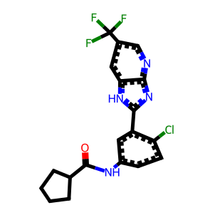 O=C(Nc1ccc(Cl)c(-c2nc3ncc(C(F)(F)F)cc3[nH]2)c1)C1CCCC1